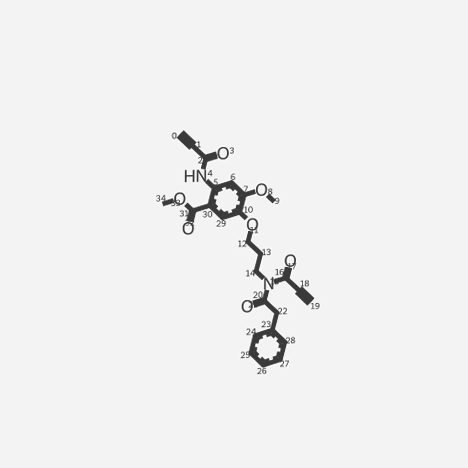 C#CC(=O)Nc1cc(OC)c(OCCCN(C(=O)C#C)C(=O)Cc2ccccc2)cc1C(=O)OC